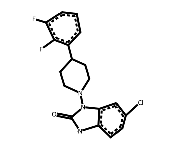 O=C1[N]c2ccc(Cl)cc2N1N1CCC(c2cccc(F)c2F)CC1